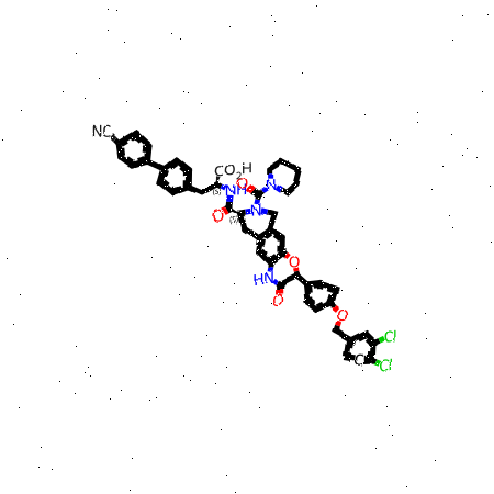 N#Cc1ccc(-c2ccc(C[C@H](NC(=O)[C@@H]3Cc4cc5c(cc4CN3C(=O)N3CCCCC3)OC(c3ccc(OCc4ccc(Cl)c(Cl)c4)cc3)C(=O)N5)C(=O)O)cc2)cc1